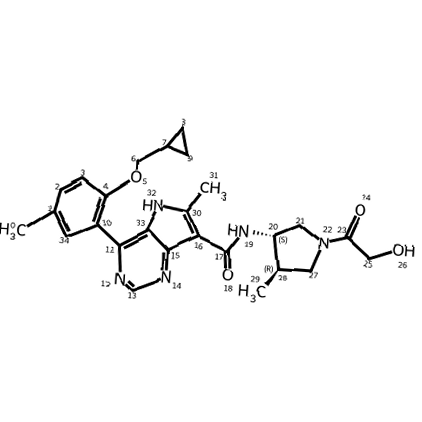 Cc1ccc(OCC2CC2)c(-c2ncnc3c(C(=O)N[C@@H]4CN(C(=O)CO)C[C@H]4C)c(C)[nH]c23)c1